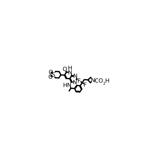 CC(Nc1ncnc2[nH]c(=O)c(C3CCS(=O)(=O)CC3)cc12)c1cccc(C(F)(F)CC2CN(C(=O)O)C2)c1